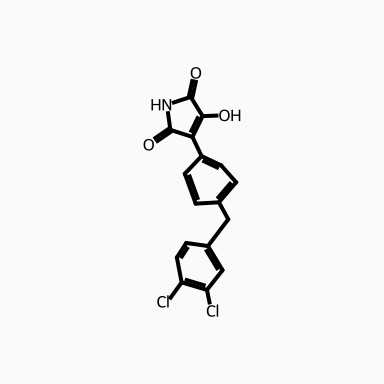 O=C1NC(=O)C(c2ccc(Cc3ccc(Cl)c(Cl)c3)cc2)=C1O